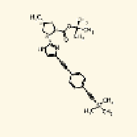 C[C@H]1C[C@@H](c2nc(C#Cc3ccc(C#C[Si](C)(C)C)cc3)c[nH]2)N(C(=O)OC(C)(C)C)C1